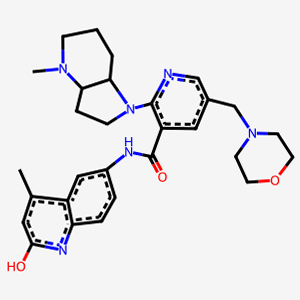 Cc1cc(O)nc2ccc(NC(=O)c3cc(CN4CCOCC4)cnc3N3CCC4C3CCCN4C)cc12